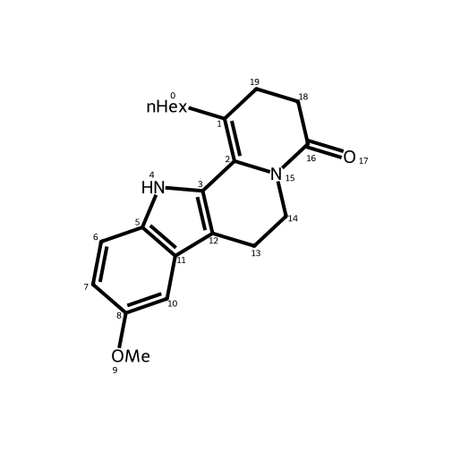 CCCCCCC1=C2c3[nH]c4ccc(OC)cc4c3CCN2C(=O)CC1